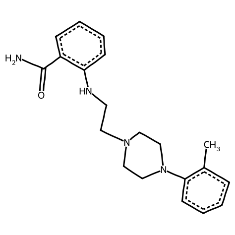 Cc1ccccc1N1CCN(CCNc2ccccc2C(N)=O)CC1